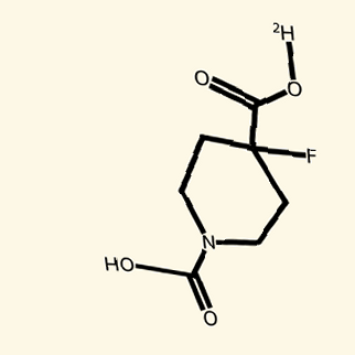 [2H]OC(=O)C1(F)CCN(C(=O)O)CC1